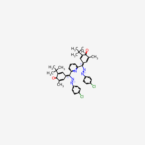 CC1=C/C(=C(\N=N\c2ccc(Cl)cc2)c2cccc(C(/N=N/c3ccc(Cl)cc3)=C3/C=C(C)C(=O)C(C(C)(C)C)=C3)n2)C=C(C(C)(C)C)C1=O